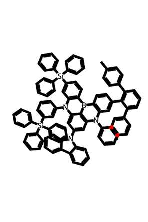 Cc1ccc(-c2cccc(-c3ccc(C)cc3)c2-c2ccc3c(c2)N(c2ccccc2)c2cc(-n4c5ccccc5c5ccccc54)cc4c2B3c2ccc([Si](c3ccccc3)(c3ccccc3)c3ccccc3)cc2N4c2cccc([Si](c3ccccc3)(c3ccccc3)c3ccccc3)c2)cc1